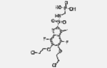 Cc1c(S(=O)(=O)NCP(=O)(O)O)sc2c(F)c(OCCCl)c(OCCCl)c(F)c12